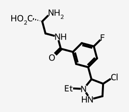 CCN1NCC(Cl)C1c1cc(F)cc(C(=O)NC[C@@H](N)C(=O)O)c1